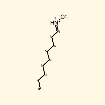 CCCCCCCCC=[NH+][O-]